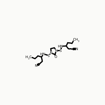 CCCC(CC#N)NSN1CCN(SNC(CC#N)CCC)C1=O